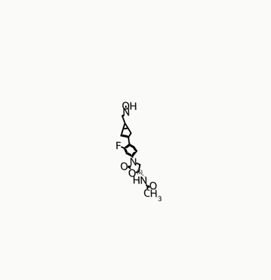 CC(=O)NC[C@H]1CN(c2ccc(C3=CC4C(C=NO)C4C3)c(F)c2)C(=O)O1